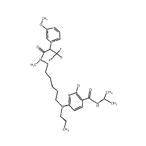 CCCN(CCCCCCN(C)C(=O)C(c1cccc(OC)c1)C(F)(F)F)c1ccc(C(=O)NC(C)C)c(Cl)n1